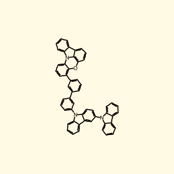 c1cc(-c2cccc(-n3c4ccccc4c4cc(-n5c6ccccc6c6ccccc65)ccc43)c2)cc(-c2cccc3c2Oc2cccc4c5ccccc5n-3c24)c1